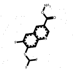 NOC(=O)c1cnc2cc(SC(F)F)c(F)cc2c1